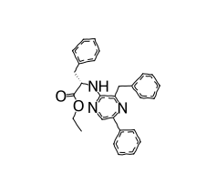 CCOC(=O)[C@H](Cc1ccccc1)Nc1ncc(-c2ccccc2)nc1Cc1ccccc1